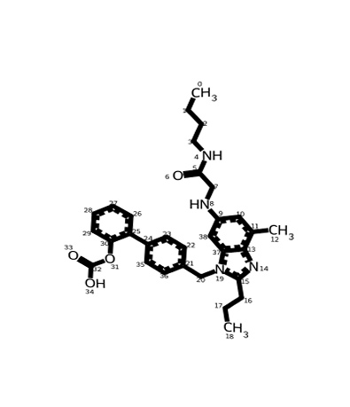 CCCCNC(=O)CNc1cc(C)c2nc(CCC)n(Cc3ccc(-c4ccccc4OC(=O)O)cc3)c2c1